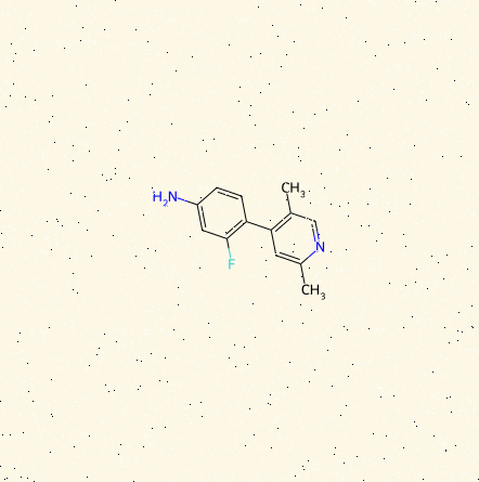 Cc1cc(-c2ccc(N)cc2F)c(C)cn1